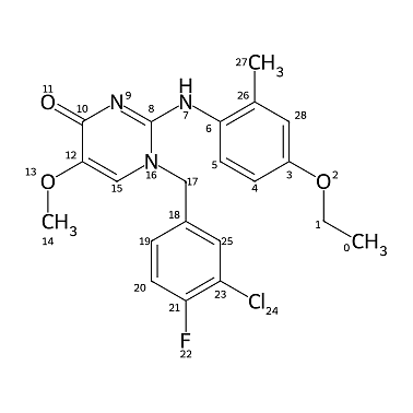 CCOc1ccc(Nc2nc(=O)c(OC)cn2Cc2ccc(F)c(Cl)c2)c(C)c1